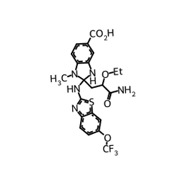 CCOC(CC1(Nc2nc3ccc(OC(F)(F)F)cc3s2)Nc2cc(C(=O)O)ccc2N1C)C(N)=O